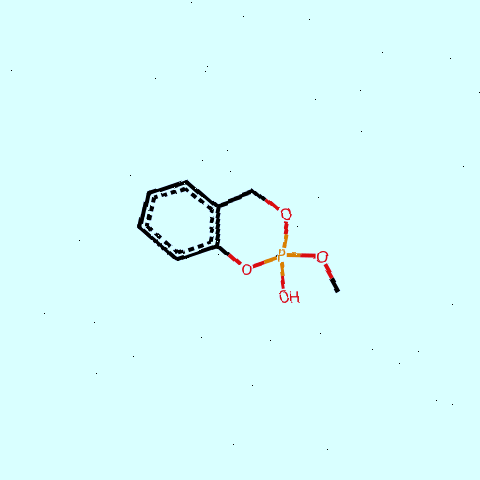 CO[P]1(O)OCc2ccccc2O1